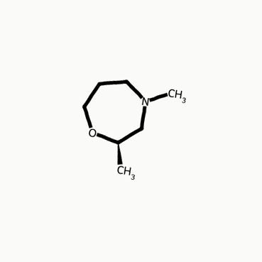 C[C@@H]1CN(C)CCCO1